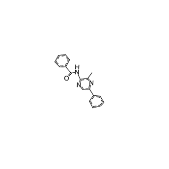 Cc1nc(-c2ccccc2)cnc1NC(=O)c1ccccc1